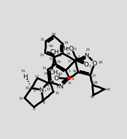 COC(=O)c1cnc(N2C3CC[C@H]2C[C@H](OCc2c(-c4ccccc4C)noc2C2CC2)C3)cc1C